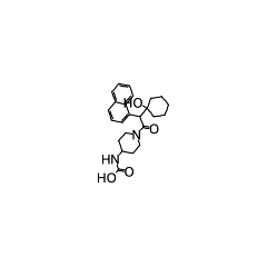 O=C(O)NC1CCN(C(=O)C(c2cccc3ccccc23)C2(O)CCCCC2)CC1